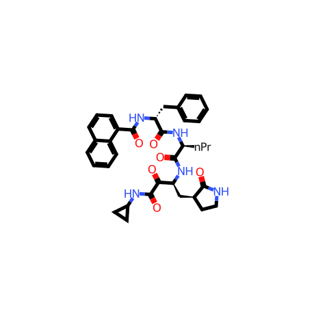 CCC[C@H](NC(=O)[C@@H](Cc1ccccc1)NC(=O)c1cccc2ccccc12)C(=O)N[C@@H](C[C@@H]1CCNC1=O)C(=O)C(=O)NC1CC1